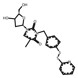 Cc1cn([C@H]2CC(O)[C@@H](CO)O2)c(=O)n(Cc2ccc(SSc3ccccn3)cc2)c1=O